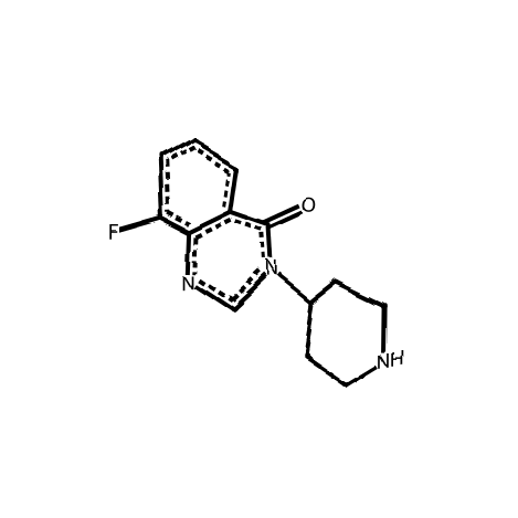 O=c1c2cccc(F)c2ncn1C1CCNCC1